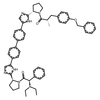 CCN(CC)[C@@H](C(=O)N1CCC[C@H]1c1ncc(-c2ccc(-c3ccc(-c4cnc([C@@H]5CCCN5C(=O)[C@@H](C)Cc5ccc(OCc6ccccc6)cc5)[nH]4)cc3)cc2)[nH]1)c1ccccc1